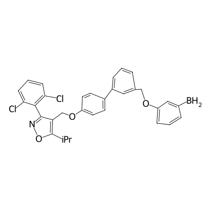 Bc1cccc(OCc2cccc(-c3ccc(OCc4c(-c5c(Cl)cccc5Cl)noc4C(C)C)cc3)c2)c1